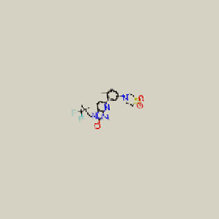 Cc1ccc(N2CCS(=O)(=O)CC2)cc1-c1ccc2c(n1)n(C)c(=O)n2CC1(C)CC1(F)F